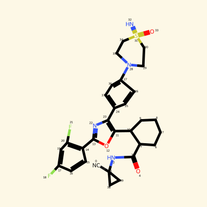 N#CC1(NC(=O)C2CCCCC2c2oc(-c3ccc(F)cc3F)nc2-c2ccc(N3CCS(=N)(=O)CC3)cc2)CC1